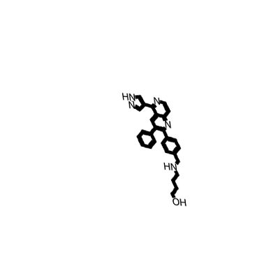 OCCCCNCc1ccc(-c2nc3ccnc(-c4cn[nH]c4)c3cc2-c2ccccc2)cc1